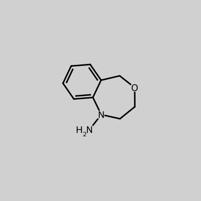 NN1CCOCc2ccccc21